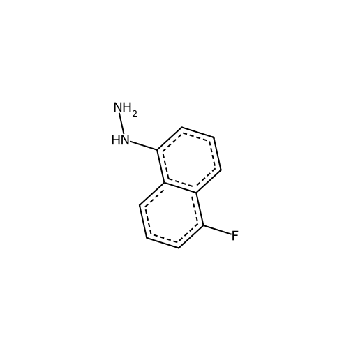 NNc1cccc2c(F)cccc12